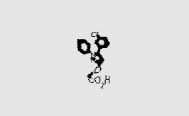 O=C(O)COc1cc(-c2cccc(Cl)c2)n(-c2ccccc2)n1